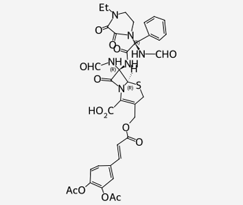 CCN1CCN([C@@](NC=O)(C(=O)N[C@]2(NC=O)C(=O)N3C(C(=O)O)=C(COC(=O)C=Cc4ccc(OC(C)=O)c(OC(C)=O)c4)CS[C@@H]32)c2ccccc2)C(=O)C1=O